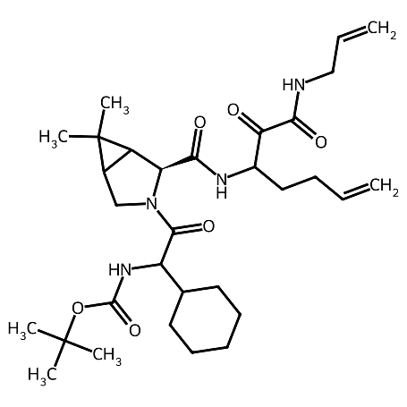 C=CCCC(NC(=O)[C@@H]1C2C(CN1C(=O)C(NC(=O)OC(C)(C)C)C1CCCCC1)C2(C)C)C(=O)C(=O)NCC=C